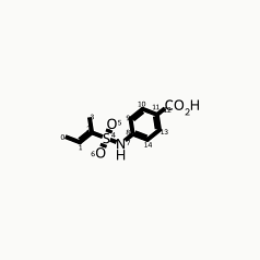 C/C=C(\C)S(=O)(=O)Nc1ccc(C(=O)O)cc1